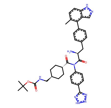 Cc1ccc2[nH]ncc2c1-c1ccc(C[C@H](N)C(=O)N(c2ccc(-c3nn[nH]n3)cc2)C(=O)[C@H]2CC[C@H](CNC(=O)OC(C)(C)C)CC2)cc1